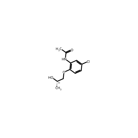 CC(=O)Nc1cc(Cl)ccc1OC[C@H](C)O